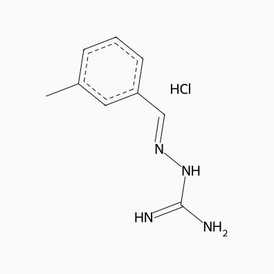 Cc1cccc(C=NNC(=N)N)c1.Cl